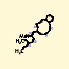 C=C/C=C(C=C)/C=C\C(=C/C1=C/C=C\C=C/c2ccccc2/C=C/C=C/1)NC